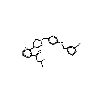 CC(C)OC(=O)c1cccnc1N1CCN(Cc2ccc(OCc3cccc(F)c3)cc2)CC1